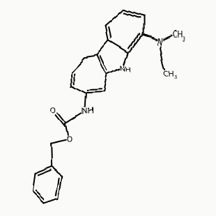 CN(C)c1cccc2c3c([nH]c12)C=C(NC(=O)OCc1ccccc1)C=CC3